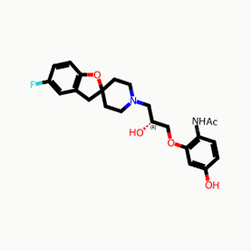 CC(=O)Nc1ccc(O)cc1OC[C@H](O)CN1CCC2(CC1)Cc1cc(F)ccc1O2